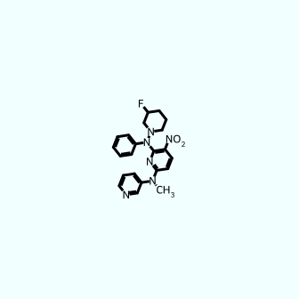 CN(c1cccnc1)c1ccc([N+](=O)[O-])c(N(c2ccccc2)N2CCCC(F)C2)n1